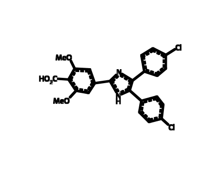 COc1cc(-c2nc(-c3ccc(Cl)cc3)c(-c3ccc(Cl)cc3)[nH]2)cc(OC)c1C(=O)O